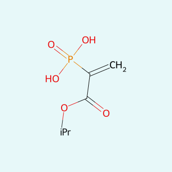 C=C(C(=O)OC(C)C)P(=O)(O)O